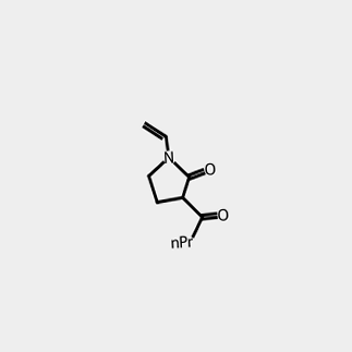 C=CN1CCC(C(=O)CCC)C1=O